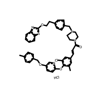 Cc1ccc(COc2ccc(Oc3c(C)cc(C=CC(=O)N4CCN(Cc5ccc(CCOc6nc7ccccc7s6)cc5)CC4)cc3Cl)nc2)cc1.Cl